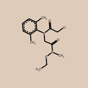 CCON(C)C(=O)CN(C(=O)CCl)c1c(C)cccc1C